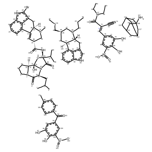 CC(C)C[C@H]1C(=O)N2CCC[C@H]2[C@]2(O)O[C@](NC(=O)[C@@H]3C=C4c5cccc6[nH]c(Br)c(c56)C[C@H]4N(C)C3)(C(C)C)C(=O)N12.CCCN1C[C@H](CSC)C[C@@H]2c3cccc4[nH]cc(c34)C[C@H]21.CCN(CC)C(=O)/C(C#N)=C/c1cc(O)c(O)c([N+](=O)[O-])c1.Cc1ccc(C(=O)c2cc(O)c(O)c([N+](=O)[O-])c2)cc1.NC12CC3CC(CC(C3)C1)C2